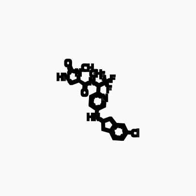 CN(C(=O)[C@H]1CNC(=O)N1C)C(c1ccc(NC2Cc3ccc(Cl)cc3C2)cn1)C(F)(F)F